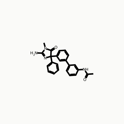 CC(=O)Nc1cccc(-c2cccc(C3(c4cc[c]cc4)N=C(N)N(C)C3=O)c2)c1